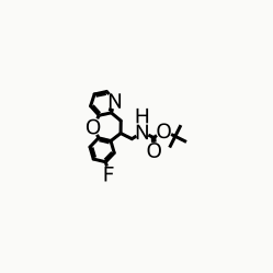 CC(C)(C)OC(=O)NCC1Cc2ncccc2Oc2ccc(F)cc21